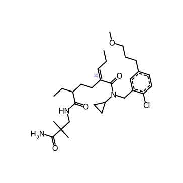 CC/C=C(/CCC(CC)C(=O)NCC(C)(C)C(N)=O)C(=O)N(Cc1cc(CCCOC)ccc1Cl)C1CC1